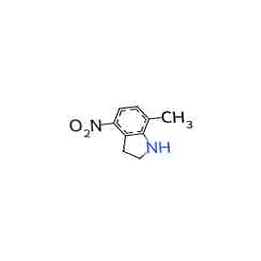 Cc1ccc([N+](=O)[O-])c2c1NCC2